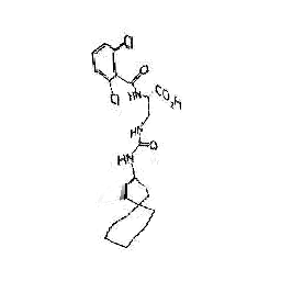 O=C(NC[C@H](NC(=O)c1c(Cl)cccc1Cl)C(=O)O)NC1CCC2(CCCCC2)CC1